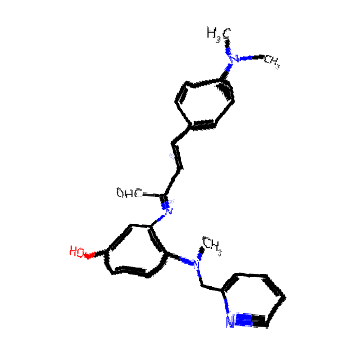 CN(C)c1ccc(/C=C/C(C=O)=N/c2cc(O)ccc2N(C)Cc2ccccn2)cc1